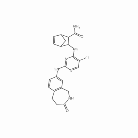 NC(=O)C1C2C=CC(C2)C1Nc1nc(Nc2ccc3c(c2)CNC(=O)CC3)ncc1Cl